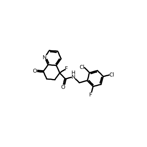 O=C1CCC(F)(C(=O)NCc2c(F)cc(Cl)cc2Cl)c2cccnc21